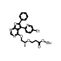 CCc1ccc(-c2c(-c3ccccc3)oc3ncnc(OC[C@H](C)OCCC(=O)OC(C)(C)C)c23)nc1